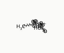 CCCCCCCCC(O)C(C/C=C\CC(C(O)CCC[C]=O)[N+](=O)[O-])[N+](=O)[O-]